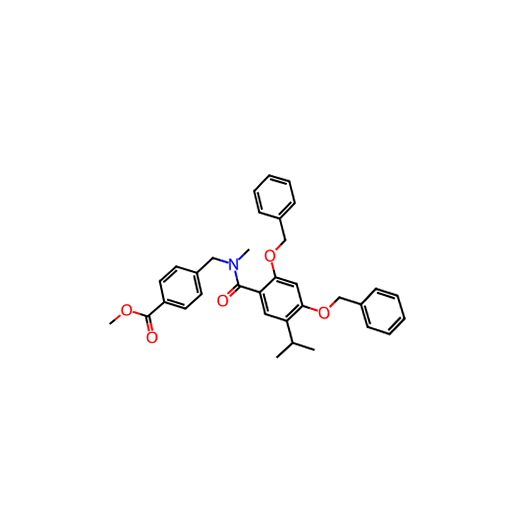 COC(=O)c1ccc(CN(C)C(=O)c2cc(C(C)C)c(OCc3ccccc3)cc2OCc2ccccc2)cc1